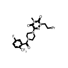 CC(C)CCn1nc(N2CCN(C(=O)c3cc(F)ccc3C(F)(F)F)CC2)c(=O)n(C)c1=O